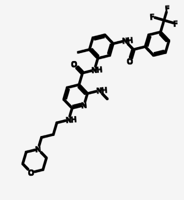 CNc1nc(NCCCN2CCOCC2)ccc1C(=O)Nc1cc(NC(=O)c2cccc(C(F)(F)F)c2)ccc1C